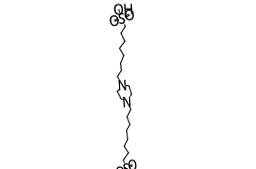 O=S(=O)(O)CCCCCCCCN1CCN(CCCCCCCCS(=O)(=O)O)CC1